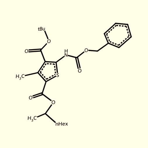 CCCCCCC(C)OC(=O)c1sc(NC(=O)OCc2ccccc2)c(C(=O)OC(C)(C)C)c1C